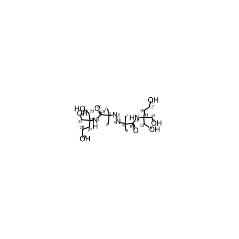 CC(C)(/N=N/C(C)(C)C(=O)NC(CO)(CO)CCO)C(=O)NC(CO)(CO)CCO